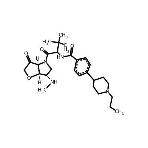 CCCN1CCC(c2ccc(C(=O)NC(C(=O)N3C[C@H](NC)[C@H]4OCC(=O)[C@H]43)C(C)(C)C)cc2)CC1